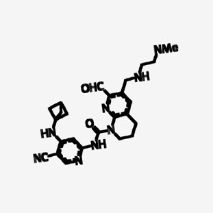 CNCCNCc1cc2c(nc1C=O)N(C(=O)Nc1cc(NC34CC(C3)C4)c(C#N)cn1)CCC2